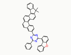 CC1(C)c2ccccc2-c2c1ccc1c2ccc2ccc3cc(-c4nc(-c5ccccc5)nc(-c5cccc6oc7ccccc7c56)n4)ccc3c21